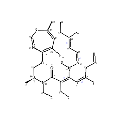 C=CC/C(C)=N\C(=C(/CC)C(=O)N(CC)[C@@H](C)COC1=C(F)C=C(C)CC=N1)N(C)/N=C\C=C(/C)CC